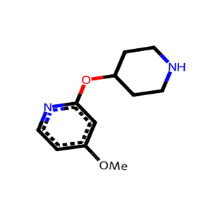 COc1ccnc(OC2CCNCC2)c1